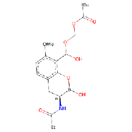 CCC(=O)N[C@H]1Cc2ccc(OC)c(C(O)OCOC(=O)C(C)(C)C)c2OB1O